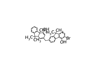 CC1(C)c2cc(CC3=CC4C(C)(C)c5ccccc5C4(C)C(O)=C3)ccc2-c2c1ccc(Br)c2O